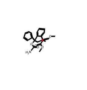 CCCC(OC(N)=O)(c1ccccc1)c1ccccc1/C(=C\OC)C(=O)OC